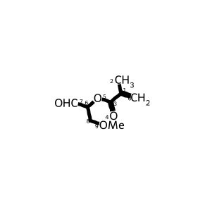 C=C(C)C(=O)OC(C=O)COC